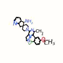 COc1ccc(Cl)c(-c2c(C)nc(N3CCC4(CC3)Cc3ncccc3[C@H]4N)c3ccnn23)c1